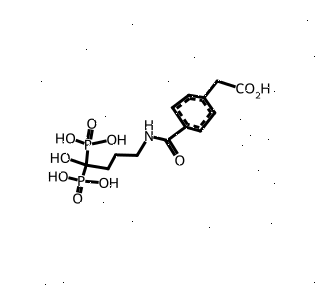 O=C(O)Cc1ccc(C(=O)NCCCC(O)(P(=O)(O)O)P(=O)(O)O)cc1